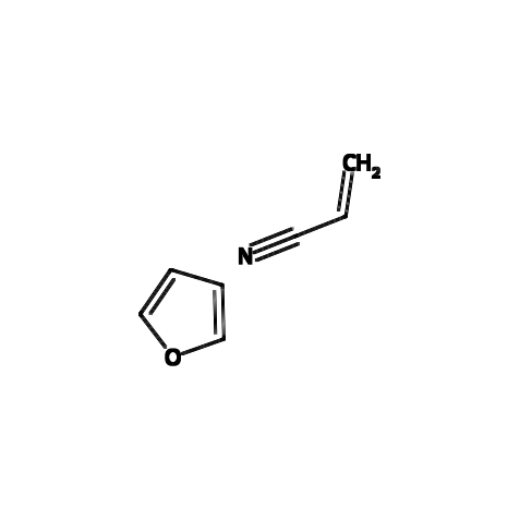 C=CC#N.c1ccoc1